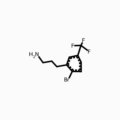 NCCCc1cc(C(F)(F)F)ccc1Br